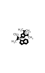 CC(C)C1=C(C(C)C)C[C]([Zr+2]2([CH]3C=Cc4ccccc43)[CH2][CH]2C)=C1.[Cl-].[Cl-]